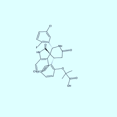 CC(C)(Oc1ccc(Cl)cc1[C@H]1CC(=O)N[C@@H](c2cc(Cl)ccc2F)[C@]12C(=O)Nc1cc(Cl)ccc12)C(=O)O